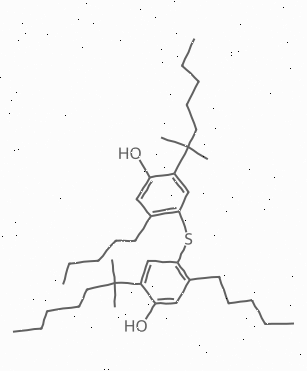 CCCCCc1cc(O)c(C(C)(C)CCCCC)cc1Sc1cc(C(C)(C)CCCCC)c(O)cc1CCCCC